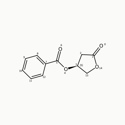 O=C1C[C@H](OC(=O)c2ccccc2)CO1